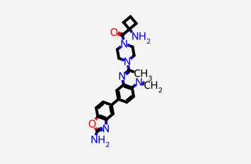 C=Nc1ccc(-c2ccc3oc(N)nc3c2)cc1/N=C(\C)N1CCN(C(=O)C2(N)CCC2)CC1